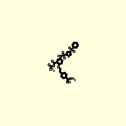 N=C(N)c1ccc(CCOc2ccc(NS(=O)(=O)c3cc(S(=O)(=O)c4ccccc4)cs3)cc2C(=O)OC(=O)C(F)(F)F)cc1